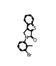 Cc1c(Br)cccc1N1Cc2c(sc3ccccc23)C1=O